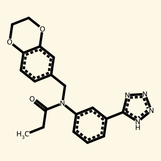 CCC(=O)N(Cc1ccc2c(c1)OCCO2)c1cccc(-c2nnn[nH]2)c1